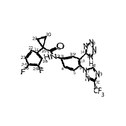 O=C(Nc1ccc(-n2cnc(C(F)(F)F)n2)c(-c2nnn[nH]2)c1)C1(c2ccc(F)c(F)c2)CC1